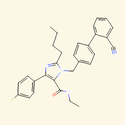 CCCCc1nc(-c2ccc(F)cc2)c(C(=O)NCC)n1Cc1ccc(-c2ccccc2C#N)cc1